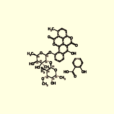 CO[C@@H]1[C@@H](N)[C@@H](O[C@H]2[C@H](Oc3cccc4c(O)c5c(=O)oc6ccc(C)c7c(=O)oc(c34)c5c67)O[C@H](C)[C@H](O)[C@]2(C)O)O[C@H](C)[C@@H]1O.O=C(O)c1ccccc1O